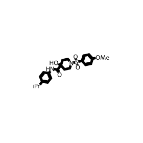 COc1ccc(S(=O)(=O)N2CCC(O)(C(=O)Nc3ccc(C(C)C)cc3)CC2)cc1